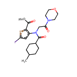 COC(=O)c1sc(I)cc1N(CC(=O)N1CCOCC1)C(=O)C1CCC(C)CC1